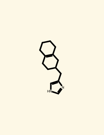 c1nc(CC2CCC3=C(CCCC3)C2)c[nH]1